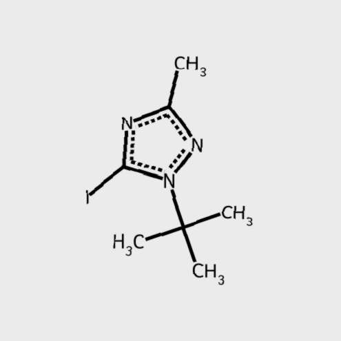 Cc1nc(I)n(C(C)(C)C)n1